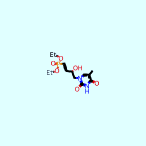 CCOP(=O)(/C=C/C(O)Cn1cc(C)c(=O)[nH]c1=O)OCC